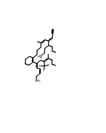 C#C/C=C(\C=C(\C)CCCC1=C(/C(=C/C=C\CN)C/C(=C(\C)CCC)C(F)(F)F)CCCC1)C(CCC)CCNC